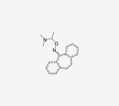 CC(ON=c1c2ccccc2ccc2ccccc12)N(C)C